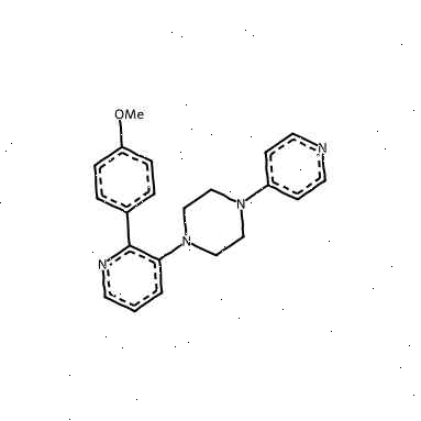 COc1ccc(-c2ncccc2N2CCN(c3ccncc3)CC2)cc1